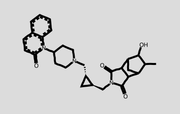 CC1C(O)C2CC1C1C(=O)N(C[C@H]3C[C@@H]3CN3CCC(n4c(=O)ccc5ccccc54)CC3)C(=O)C21